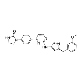 COc1cccc(Cn2cc(Nc3nccc(-c4ccc(N5CCNC5=O)cc4)n3)cn2)c1